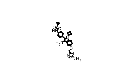 Cc1nc(COc2ccc3c(c2)c(N)c(-c2ccc(NS(=O)(=O)C4CC4)cc2)n3C2CCC2)no1